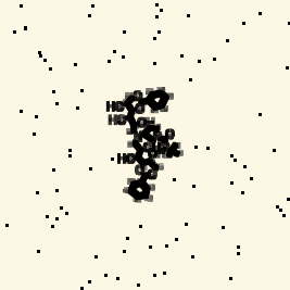 CC(C)(C)OC(=O)N1CC[C@H](N(C[C@H](O)[C@@H](O)[C@@H]2OC(c3ccccc3)OC[C@H]2O)C[C@H](O)[C@@H](O)[C@@H]2OC(c3ccccc3)OC[C@H]2O)C1